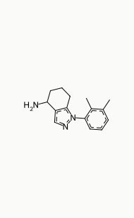 Cc1cccc(-n2ncc3c2CCCC3N)c1C